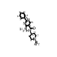 CC(C)CN1CCC(NC(=O)c2cnc(-c3ccccc3)nc2N)CC1